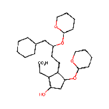 O=C(O)CC1C(O)CC(OC2CCCCO2)C1CCC(CC1CCCCC1)OC1CCCCO1